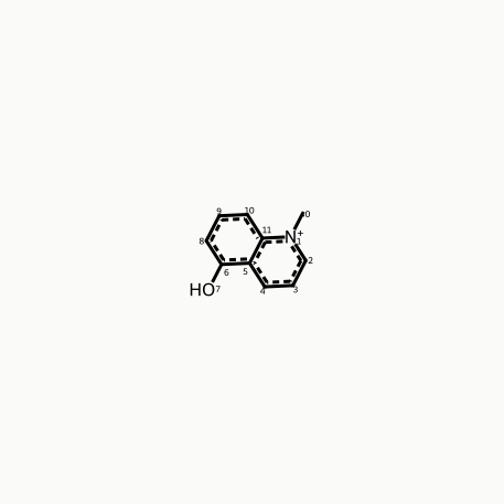 [CH2][n+]1cccc2c(O)cccc21